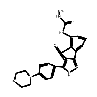 NNC(=O)Nc1cccc2c1C(=O)c1c-2n[nH]c1-c1ccc(N2CCNCC2)cc1